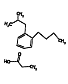 CCC(=O)O.CCCCc1ccccc1CC(C)C